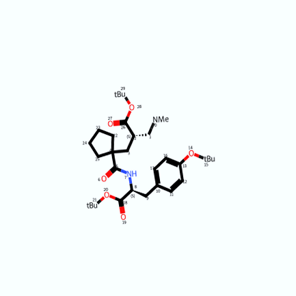 CNC[C@H](CC1(C(=O)N[C@@H](Cc2ccc(OC(C)(C)C)cc2)C(=O)OC(C)(C)C)CCCC1)C(=O)OC(C)(C)C